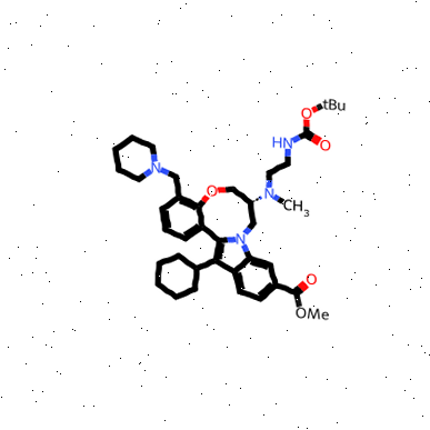 COC(=O)c1ccc2c(C3CCCCC3)c3n(c2c1)C[C@@H](N(C)CCNC(=O)OC(C)(C)C)COc1c(CN2CCCCC2)cccc1-3